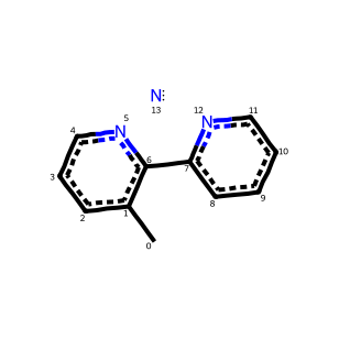 Cc1cccnc1-c1ccccn1.[N]